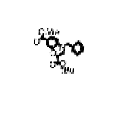 COC(=O)c1ccc2c(c1)OC(C(=O)OC(C)(C)C)CN2Cc1ccccc1